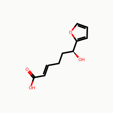 O=C(O)/C=C/CC[C@H](O)c1ccco1